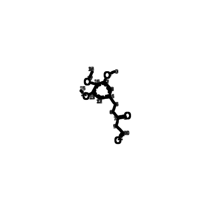 COc1cc(CCC(=O)C[C]=O)cc(OC)c1OC